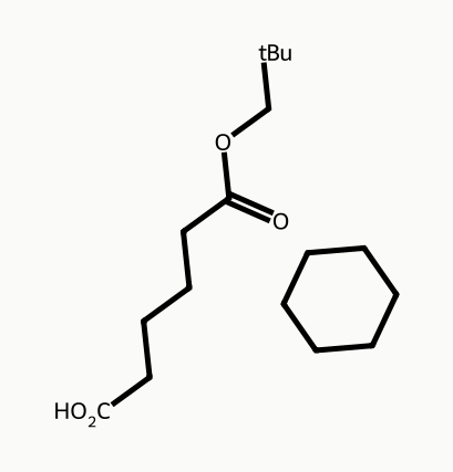 C1CCCCC1.CC(C)(C)COC(=O)CCCCC(=O)O